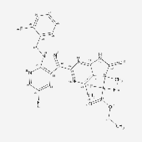 CCOC(=O)C(F)(F)C1(C)C(=O)Nc2nc(-c3nn(Cc4ccccc4F)c4ncc(F)cc34)nc(N)c21